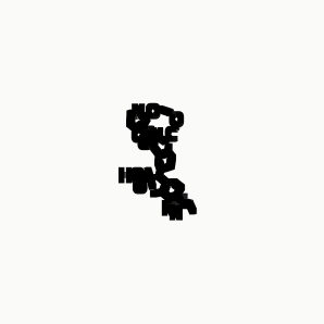 CCn1nnc2c(C)c([C@H](c3ccc(C)c(CN4CCCOCCOc5ncccc5S4(=O)=O)c3)C(C)(C)C(=O)O)ccc21